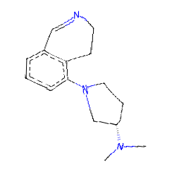 CN(C)[C@H]1CCN(c2cccc3c2CCN=C3)C1